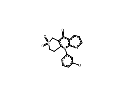 O=c1c2c(n(-c3cccc(Cl)c3)c3ncccc13)CCS(=O)(=O)C2